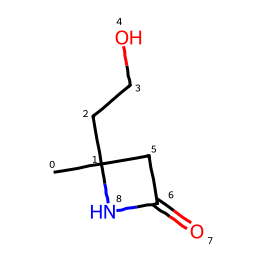 CC1(CCO)CC(=O)N1